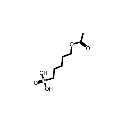 CC(=O)OCCCCCP(=O)(O)O